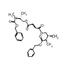 C[C@H](COC(=O)/C=C/C(=O)OC[C@@H](C)N(C)C(=O)OCc1ccccc1)N(C)C(=O)OCc1ccccc1